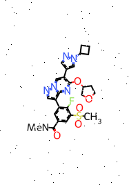 CNC(=O)c1cc(-c2cnn3cc(-c4cnn(C5CCC5)c4)c(O[C@H]4CCOC4)nc23)c(F)c(S(C)(=O)=O)c1